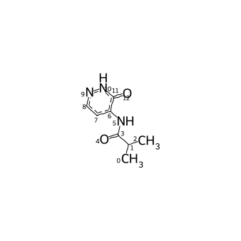 CC(C)C(=O)Nc1ccn[nH]c1=O